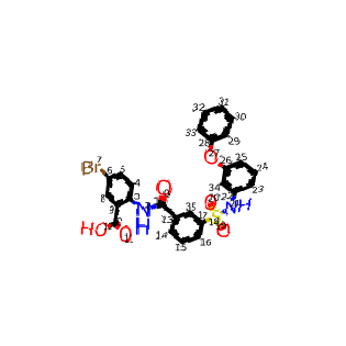 O=C(Nc1ccc(Br)cc1C(=O)O)c1cccc(S(=O)(=O)Nc2cccc(Oc3ccccc3)c2)c1